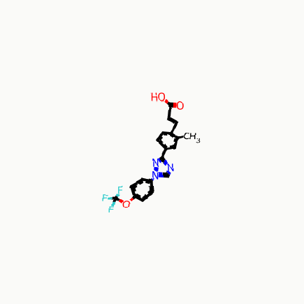 Cc1cc(-c2ncn(-c3ccc(OC(F)(F)F)cc3)n2)ccc1/C=C/C(=O)O